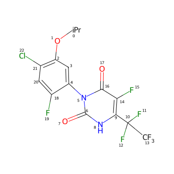 CC(C)Oc1cc(-n2c(=O)[nH]c(C(F)(F)C(F)(F)F)c(F)c2=O)c(F)cc1Cl